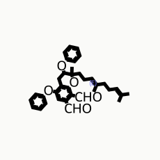 CC(C)=CCC/C(C)=C/CCC1(C)Oc2c(C=O)c(C=O)cc(Oc3ccccc3)c2CC1Oc1ccccc1